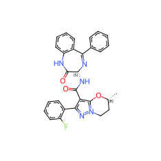 C[C@@H]1CCn2nc(-c3ccccc3F)c(C(=O)N[C@H]3N=C(c4ccccc4)c4ccccc4NC3=O)c2O1